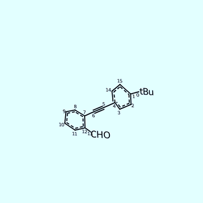 CC(C)(C)c1ccc(C#Cc2ccccc2C=O)cc1